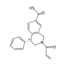 C=CC(=O)N1Cc2cc(C(=O)S)ccc2[C@@H](c2ccccc2)C1